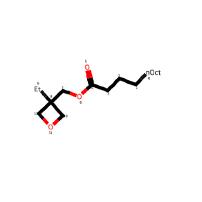 CCCCCCCCCCCC(=O)OCC1(CC)COC1